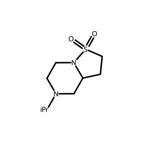 CC(C)N1CCN2C(CCS2(=O)=O)C1